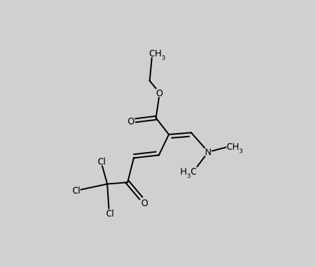 CCOC(=O)C(/C=C/C(=O)C(Cl)(Cl)Cl)=C/N(C)C